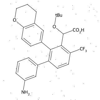 CC(C)(C)OC(C(=O)O)c1c(C(F)(F)F)ccc(-c2cccc(N)c2)c1-c1ccc2c(c1)CCCO2